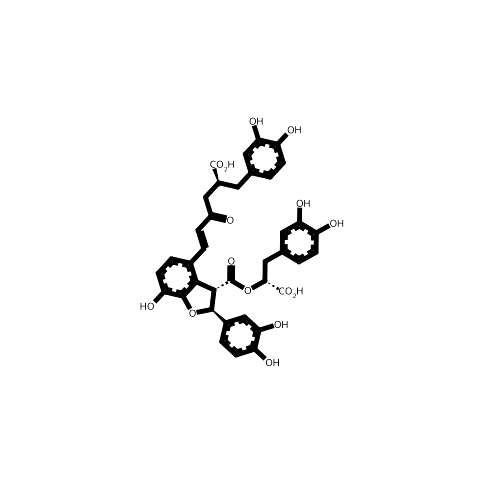 O=C(/C=C/c1ccc(O)c2c1[C@H](C(=O)O[C@H](Cc1ccc(O)c(O)c1)C(=O)O)[C@@H](c1ccc(O)c(O)c1)O2)C[C@H](Cc1ccc(O)c(O)c1)C(=O)O